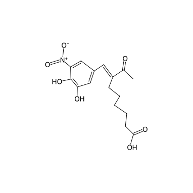 CC(=O)/C(=C/c1cc(O)c(O)c([N+](=O)[O-])c1)CCCCCC(=O)O